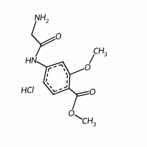 COC(=O)c1ccc(NC(=O)CN)cc1OC.Cl